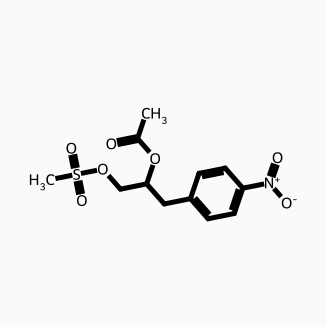 CC(=O)OC(COS(C)(=O)=O)Cc1ccc([N+](=O)[O-])cc1